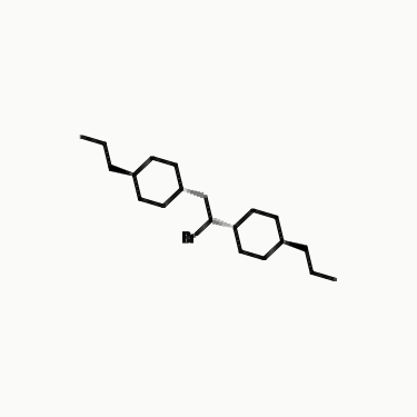 CCC[C@H]1CC[C@H](CC(Br)[C@H]2CC[C@H](CCC)CC2)CC1